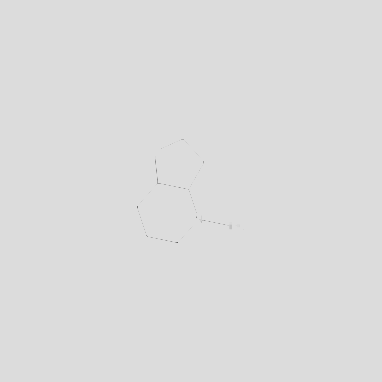 CCC(C)N1CCCC2OCCC21